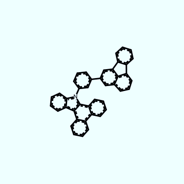 c1cc(-c2cc3c4c(cccc4c2)-c2ccccc2-3)cc(-n2c3ccccc3c3c4ccccc4c4ccccc4c32)c1